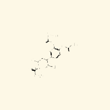 CCCCCC(=O)Oc1ccc(C(CC(C)OC(=O)OC)[C@H](N)C(=O)O)cc1OC(=O)CCCCC